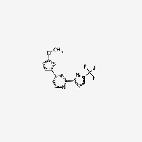 COc1ccc(-c2c[c]nc(-c3nc(C(F)(F)F)cs3)n2)s1